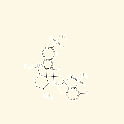 CC1CCC(C(C)C)C(c2cc3nc(S(C)(=O)=O)ccc3[nH]2)(C(O)(CC(C)(C)c2cccc(F)c2S(C)(=O)=O)C(F)(F)F)C1